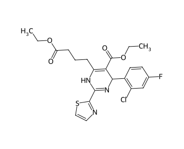 CCOC(=O)CCCC1=C(C(=O)OCC)C(c2ccc(F)cc2Cl)N=C(c2nccs2)N1